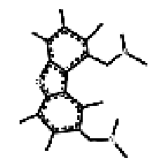 Cc1c(CN(C)C)c(C)c2c(oc3c(C)c(C)c(C)c(CN(C)C)c32)c1C